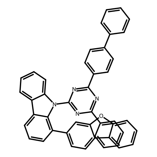 c1ccc(-c2ccc(-c3nc(-c4ccccc4)nc(-n4c5ccccc5c5cccc(-c6ccc7c(c6)oc6ccccc67)c54)n3)cc2)cc1